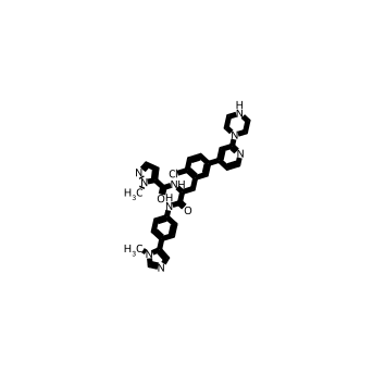 Cn1cncc1-c1ccc(NC(=O)C(Cc2cc(-c3ccnc(N4CCNCC4)c3)ccc2Cl)NC(=O)c2ccnn2C)cc1